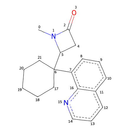 CN1C(=O)CC1C1(c2cccc3cccnc23)CCCCC1